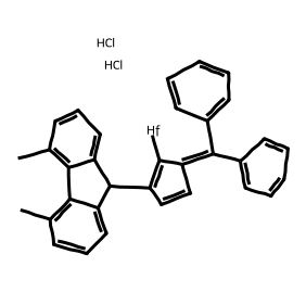 Cc1cccc2c1-c1c(C)cccc1C2C1=[C]([Hf])C(=C(c2ccccc2)c2ccccc2)C=C1.Cl.Cl